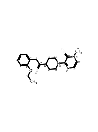 CCOc1ccccc1CC(=O)C1CCN(c2nccn(C)c2=O)CC1